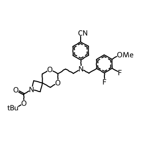 COc1ccc(CN(CCC2OCC3(CO2)CN(C(=O)OC(C)(C)C)C3)c2ccc(C#N)cc2)c(F)c1F